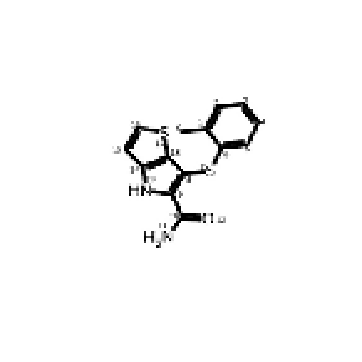 Cc1ccccc1Sc1c(C(N)=O)[nH]c2ccsc12